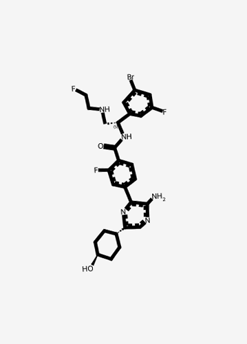 Nc1ncc([C@H]2CC[C@H](O)CC2)nc1-c1ccc(C(=O)N[C@H](CNCCF)c2cc(F)cc(Br)c2)c(F)c1